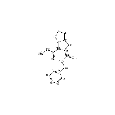 CC(C)(C)OC(=O)N1C2CCCC2C[C@H]1C(=O)OCc1ccccc1